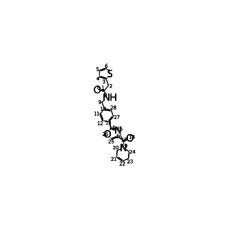 O=C(Cc1cccs1)NCc1ccc(-c2nc(C(=O)N3CC=CCC3)co2)cc1